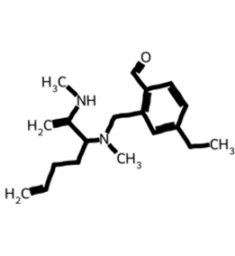 C=CCCC(C(=C)NC)N(C)Cc1cc(CC)ccc1C=O